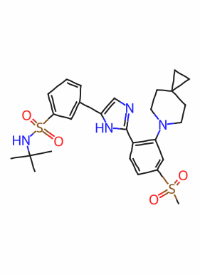 CC(C)(C)NS(=O)(=O)c1cccc(-c2cnc(-c3ccc(S(C)(=O)=O)cc3N3CCC4(CC3)CC4)[nH]2)c1